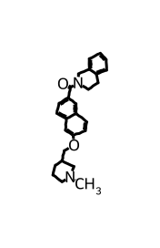 CN1CCCC(COc2ccc3cc(C(=O)N4CCc5ccccc5C4)ccc3c2)C1